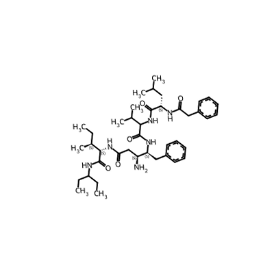 CCC(CC)NC(=O)[C@@H](NC(=O)C[C@H](N)[C@H](Cc1ccccc1)NC(=O)C(NC(=O)[C@H](CC(C)C)NC(=O)Cc1ccccc1)C(C)C)[C@@H](C)CC